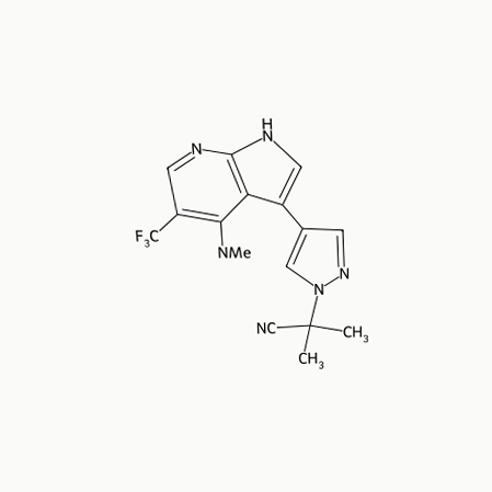 CNc1c(C(F)(F)F)cnc2[nH]cc(-c3cnn(C(C)(C)C#N)c3)c12